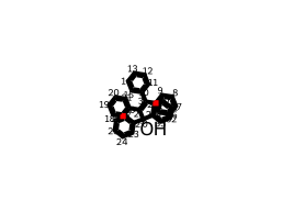 OC(C(=C(c1ccccc1)c1ccccc1)c1ccccc1)(c1ccccc1)c1ccccc1